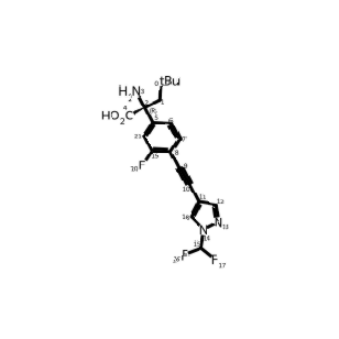 CC(C)(C)C[C@](N)(C(=O)O)c1ccc(C#Cc2cnn(C(F)F)c2)c(F)c1